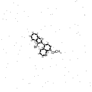 COc1ccc(-c2oc3ccccc3c2Br)c2cccnc12